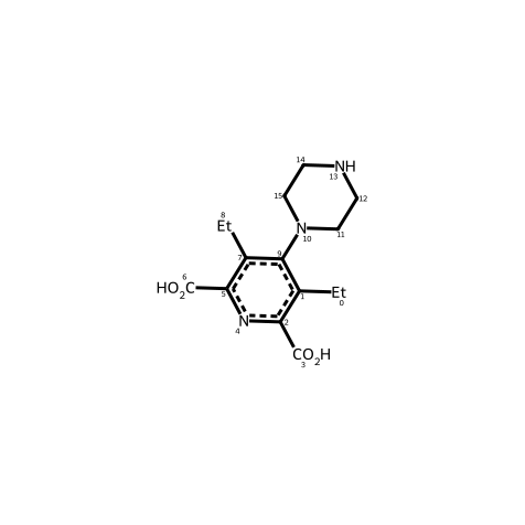 CCc1c(C(=O)O)nc(C(=O)O)c(CC)c1N1CCNCC1